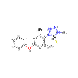 CCn1nnn(-c2c(C(C)C)cc(Oc3ccccc3)cc2C(C)C)c1=S